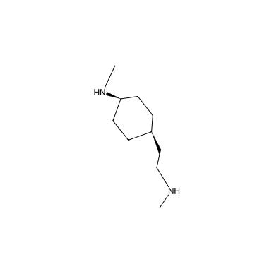 CNCC[C@H]1CC[C@@H](NC)CC1